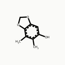 Cc1c(O)cc2c(c1C)OCO2